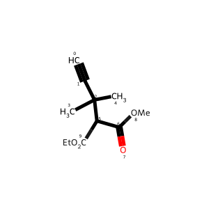 C#CC(C)(C)C(C(=O)OC)C(=O)OCC